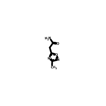 Cc1noc(CC(N)=O)n1